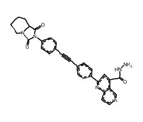 NNC(=O)c1cc(-c2ccc(C#Cc3ccc(N4C(=O)C5CCCCN5C4=O)cc3)cc2)nc2ccncc12